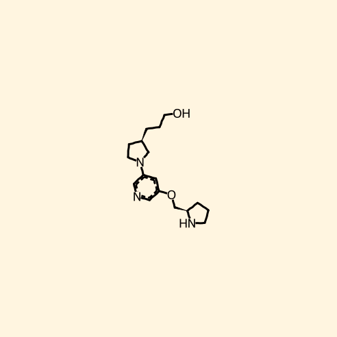 OCCC[C@@H]1CCN(c2cncc(OC[C@H]3CCCN3)c2)C1